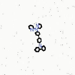 c1ccc(N(c2ccc(-c3ccc(-n4c5ccccc5c5ccccc54)cc3)cc2)c2ccccn2)nc1